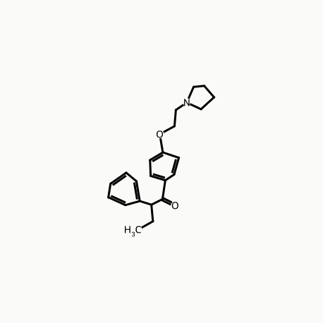 CCC(C(=O)c1ccc(OCCN2CCCC2)cc1)c1ccccc1